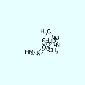 CCCCn1cc(-c2cc(OC)c(OCC3CCN(CC4CCNCC4)CC3)c(OC)c2)c2ccncc2c1=O